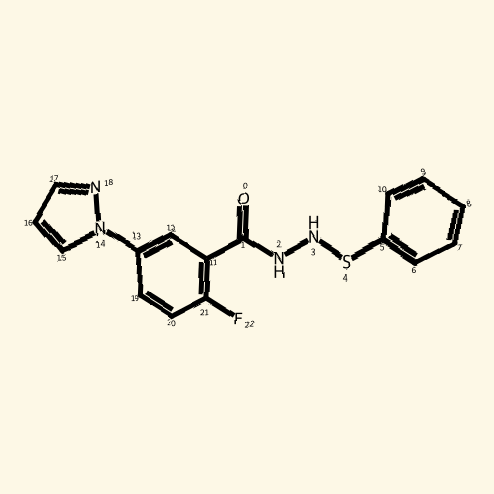 O=C(NNSc1ccccc1)c1cc(-n2cccn2)ccc1F